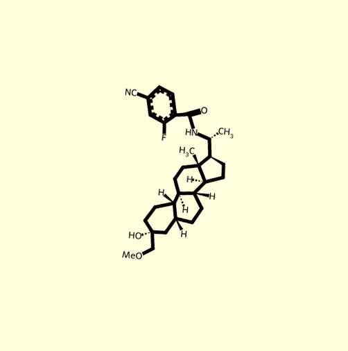 COC[C@@]1(O)CC[C@H]2[C@H](CC[C@@H]3[C@@H]2CC[C@]2(C)[C@@H]([C@@H](C)NC(=O)c4ccc(C#N)cc4F)CC[C@@H]32)C1